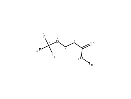 O=C(CCOC(F)(F)I)OI